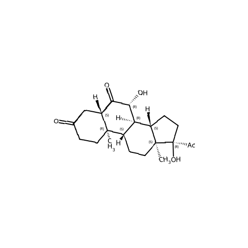 CC(=O)[C@@]1(O)CC[C@H]2[C@@H]3[C@@H](O)C(=O)[C@H]4CC(=O)CC[C@]4(C)[C@H]3CC[C@@]21C